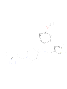 C[C@@H](N)CCN1CCC(N(Cc2ccsc2)c2ccc(OC(F)(F)F)cc2)CC1